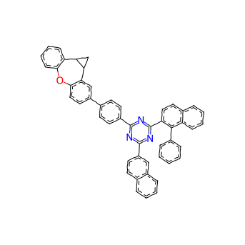 c1ccc(-c2c(-c3nc(-c4ccc(-c5ccc6c(c5)C5CC5c5ccccc5O6)cc4)nc(-c4ccc5ccccc5c4)n3)ccc3ccccc23)cc1